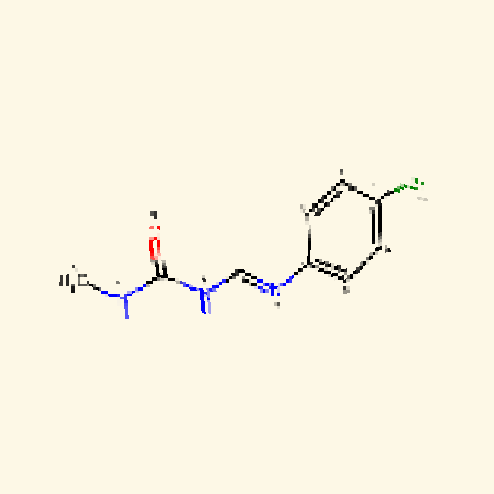 CNC(=O)NC=Nc1ccc(Br)cc1